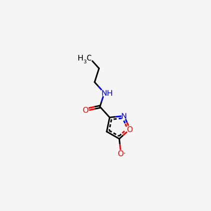 CCCNC(=O)c1cc([O])on1